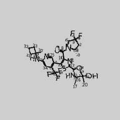 C[C@H]1CC(F)(F)CN1C(=O)c1nc(C(=O)N[C@H](C)C(C)(C)O)sc1-c1cnc(NC2(C)CCC2)cc1C(F)(F)F